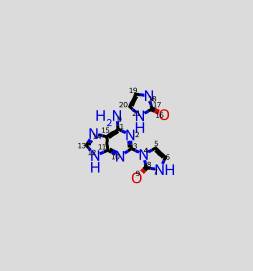 Nc1nc(-n2cc[nH]c2=O)nc2[nH]cnc12.O=C1[N]C=CN1